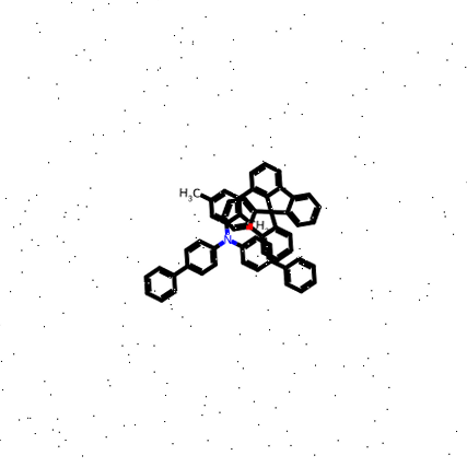 Cc1cc(-c2cccc3c2C2(c4ccccc4-c4ccccc42)c2ccccc2-3)c(C)c(N(c2ccc(-c3ccccc3)cc2)c2ccc(-c3ccccc3)cc2)c1